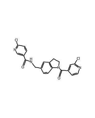 O=C(NCc1ccc2c(c1)CCN2C(=O)c1ccnc(Cl)c1)c1ccc(Cl)nc1